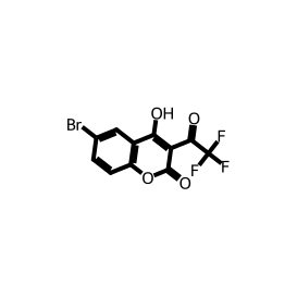 O=C(c1c(O)c2cc(Br)ccc2oc1=O)C(F)(F)F